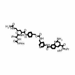 CCCCCCC(=O)NC(C(=O)NC(CCCNC(N)=O)C(=O)Nc1ccc(COC(=O)NCc2cncc(NC(=O)c3ccc4c(c3)N=C(N)CC(C(=O)N(CCC)CCC)=C4)c2)cc1)C(C)C